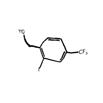 OCc1ccc(C(F)(F)F)cc1I